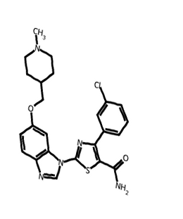 CN1CCC(COc2ccc3ncn(-c4nc(-c5cccc(Cl)c5)c(C(N)=O)s4)c3c2)CC1